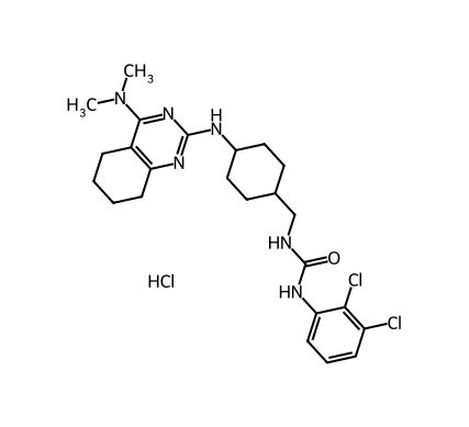 CN(C)c1nc(NC2CCC(CNC(=O)Nc3cccc(Cl)c3Cl)CC2)nc2c1CCCC2.Cl